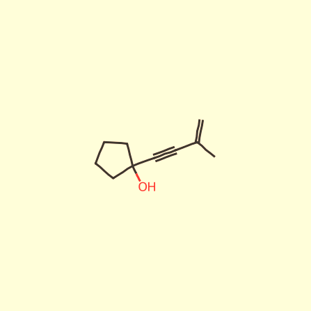 C=C(C)C#CC1(O)CCCC1